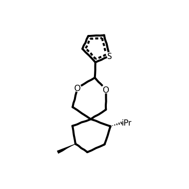 CC(C)[C@@H]1CC[C@@H](C)CC12COC(c1cccs1)OC2